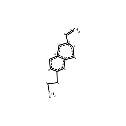 C=Cc1ccc2cc(CC[SiH3])ccc2c1